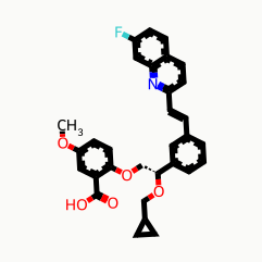 COc1ccc(OC[C@@H](OCC2CC2)c2cccc(/C=C/c3ccc4ccc(F)cc4n3)c2)c(C(=O)O)c1